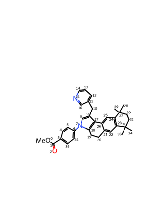 COC(=O)c1ccc(-n2cc(Cc3cccnc3)c3c2CCc2cc4c(cc2-3)C(C)(C)CCC4(C)C)cc1